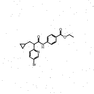 CCOC(=O)c1ccc(NC(=O)C(CC2CC2)c2ccc(Br)cn2)cc1